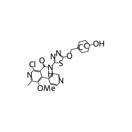 COc1c(C)nc(Cl)c(C(=O)Nc2nnc(OCC34CCC(O)(CC3)CC4)s2)c1-c1ccncc1